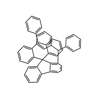 c1ccc(N(c2ccccc2)c2cccc3c2C2(c4ccccc4-3)c3ccccc3N(c3ccccc3)c3ccccc32)cc1